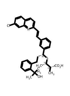 C[C@H](S[C@H](CCc1ccccc1C(C)(C)O)c1cccc(C=Cc2ccc3ccc(Cl)cc3n2)c1)[C@@H](C)C(=O)O